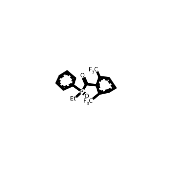 CCP(=O)(C(=O)c1c(C(F)(F)F)cccc1C(F)(F)F)c1ccccc1